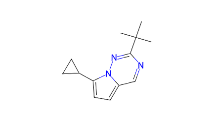 CC(C)(C)c1ncc2ccc(C3CC3)n2n1